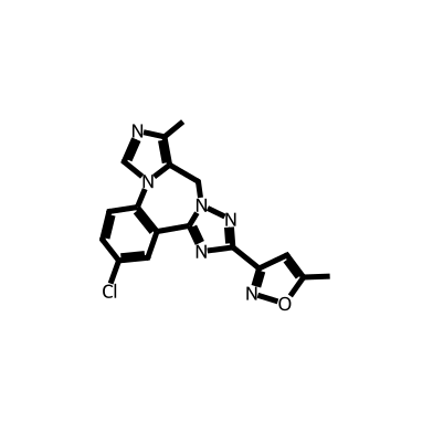 Cc1cc(-c2nc3n(n2)Cc2c(C)ncn2-c2ccc(Cl)cc2-3)no1